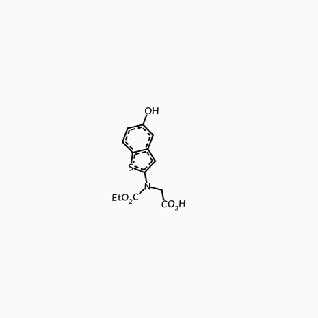 CCOC(=O)N(CC(=O)O)c1cc2cc(O)ccc2s1